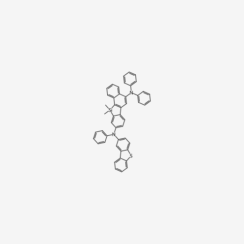 C[Si]1(C)c2cc(N(c3ccccc3)c3ccc4sc5ccccc5c4c3)ccc2-c2cc(N(c3ccccc3)c3ccccc3)c3ccccc3c21